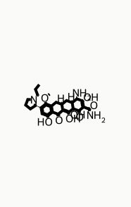 CCCN1CCC[C@H]1c1cc(O)c2c(c1OC)C[C@H]1C[C@H]3[C@H](N)C(O)=C(C(N)=O)C(=O)[C@@]3(O)C(O)=C1C2=O